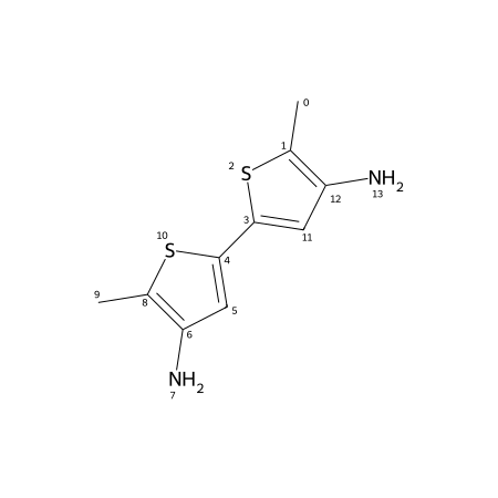 Cc1sc(-c2cc(N)c(C)s2)cc1N